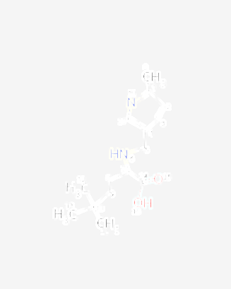 Cc1ccc(CNC(CCC(C)(C)C)C(=O)O)cn1